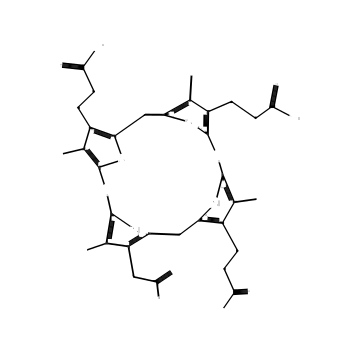 Cc1c2[nH]c(c1CCC(=O)O)Cc1[nH]c(c(CCC(=O)O)c1C)Cc1[nH]c(c(CCC(=O)O)c1C)Cc1[nH]c(c(C)c1CC(=O)O)C2